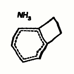 N.c1ccc2c(c1)CC2